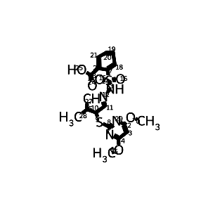 COc1cc(OC)nc(SC(C=NNS(=O)(=O)c2ccccc2C(=O)O)C(C)C)n1